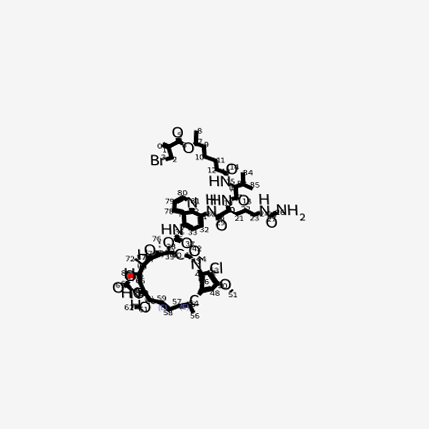 C=C(CBr)C(=O)OC(C)CCCCC(=O)N[C@H](C(=O)N[C@@H](CCCNC(N)=O)C(=O)Nc1ccc(NC(=O)O[C@H]2CC(=O)N(C)c3cc(cc(OC)c3Cl)C/C(C)=C/C=C/[C@@H](OC)[C@@]3(O)C[C@H](OC(=O)N3)[C@@H](C)[C@@H]3O[C@@]23C)c2cccnc12)C(C)C